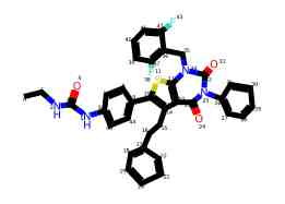 CCNC(=O)Nc1ccc(-c2sc3c(c2CCc2ccccc2)c(=O)n(-c2ccccc2)c(=O)n3Cc2c(F)cccc2F)cc1